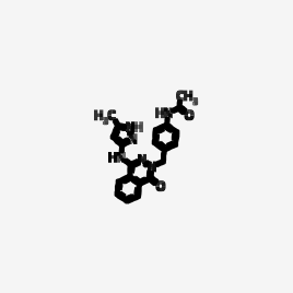 CC(=O)Nc1ccc(Cn2nc(Nc3cc(C)[nH]n3)c3ccccc3c2=O)cc1